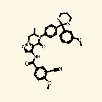 COc1cccc(C2(c3ccc(N4C(=O)c5c(NC(=O)c6ccc(OC)c(C#N)c6)cnn5CC4C)cc3)SCCCS2)c1